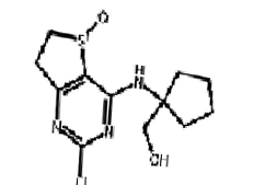 [O-][S+]1CCc2nc(Cl)nc(NC3(CO)CCCC3)c21